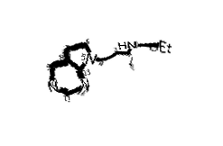 CCNCCCn1ccc2cncnc21